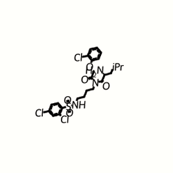 CC(C)C[C@H](N)C(=O)N(CCCCNS(=O)(=O)c1ccc(Cl)cc1Cl)C(=O)COc1ccccc1Cl